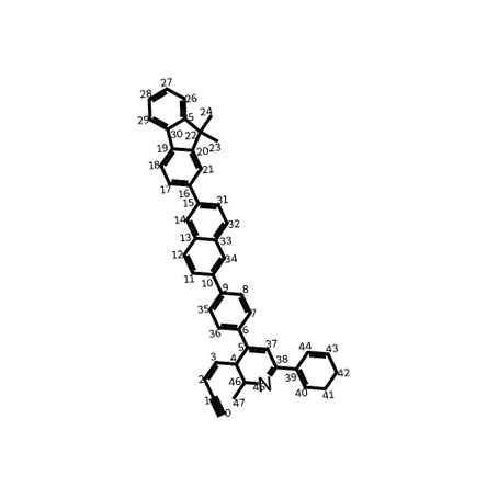 C#C/C=C\C1C(c2ccc(-c3ccc4cc(-c5ccc6c(c5)C(C)(C)c5ccccc5-6)ccc4c3)cc2)=CC(C2=CCCC=C2)=NC1C